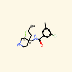 Cc1cc(Cl)cc(C(=O)NC[C@@]2(CCC(C)(C)C)CCNC[C@H]2F)c1